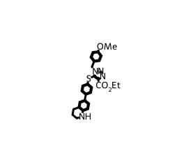 CCOC(=O)c1nnn(Cc2ccc(OC)cc2)c1Sc1ccc(-c2ccc3c(c2)CCCN3)cc1